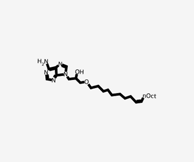 CCCCCCCC/C=C\CCCCCCCCOCC(O)Cn1cnc2c(N)ncnc21